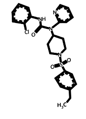 CCc1ccc(S(=O)(=O)N2CCC(N(C(=O)Nc3ccccc3Cl)c3ccccn3)CC2)cc1